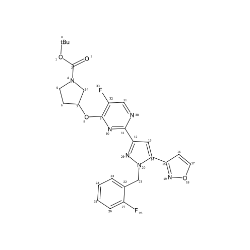 CC(C)(C)OC(=O)N1CCC(Oc2nc(-c3cc(-c4ccon4)n(Cc4ccccc4F)n3)ncc2F)C1